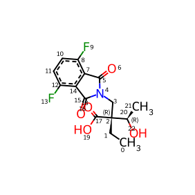 CC[C@](CN1C(=O)c2c(F)ccc(F)c2C1=O)(C(=O)O)[C@@H](C)O